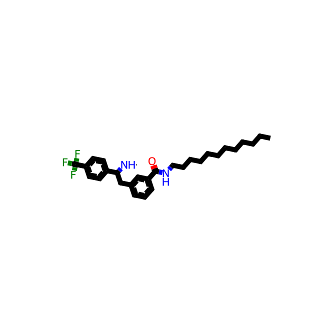 CCCCCCCCCCCCNC(=O)c1cccc(CC([NH])c2ccc(C(F)(F)F)cc2)c1